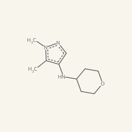 Cc1c(NC2CCOCC2)cnn1C